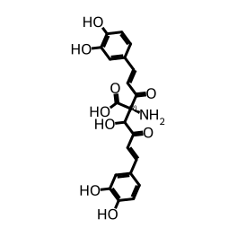 N[C@@](C(=O)O)(C(=O)C=Cc1ccc(O)c(O)c1)C(O)C(=O)C=Cc1ccc(O)c(O)c1